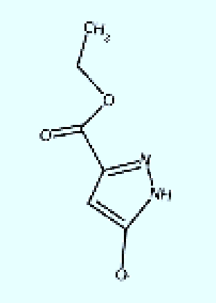 CCOC(=O)c1cc([O])[nH]n1